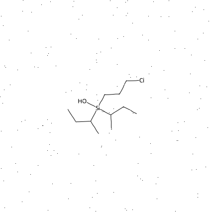 CCC(C)[Si](O)(CCCCl)C(C)CC